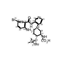 CC(C)(C)[Si](C)(C)O[C@@H]1CCN(c2ccncc2NC(=O)c2nc(Br)ccc2N)C[C@H]1NC(=O)O